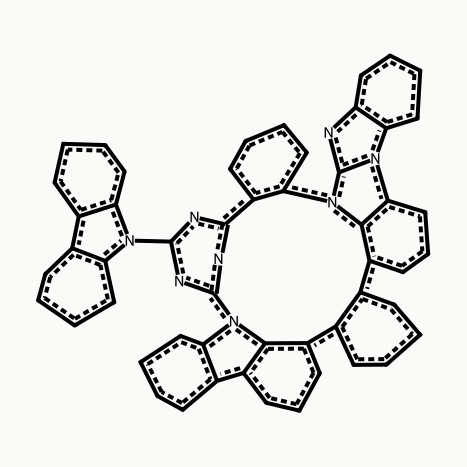 c1ccc2c(c1)nc1n2c2cccc3c4ccccc4c4cccc5c6ccccc6n(c6nc(-n7c8ccccc8c8ccccc87)nc(n6)c6ccccc6n1c32)c45